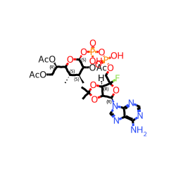 CC(=O)OC[C@@H](OC(C)=O)C1O[C@@H](OP(=O)(O)OP(=O)(O)OCC2(F)O[C@@H](n3cnc4c(N)ncnc43)C3OC(C)(C)O[C@H]32)C(OC(C)=O)[C@@H](C)[C@@H]1C